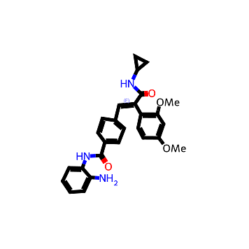 COc1ccc(/C(=C\c2ccc(C(=O)Nc3ccccc3N)cc2)C(=O)NC2CC2)c(OC)c1